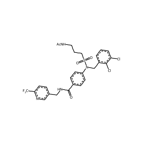 CC(=O)NCCCS(=O)(=O)N(Cc1cccc(Cl)c1Cl)c1ccc(C(=O)NCc2ccc(C(F)(F)F)nc2)cc1